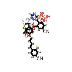 C[C@@H](S[C@H]1CO[C@H](/C=C/C=C/c2ccc(C#N)cc2F)OC1)[C@@](Cn1cncn1)(OC(=O)c1cc(C#N)ccc1COP(=O)(O)O)c1ccc(F)cc1F